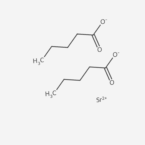 CCCCC(=O)[O-].CCCCC(=O)[O-].[Sr+2]